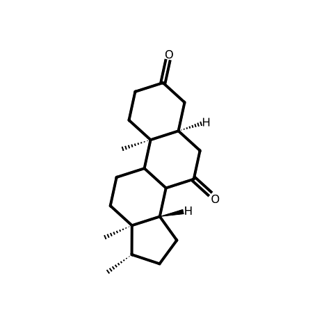 C[C@H]1CC[C@H]2C3C(=O)C[C@@H]4CC(=O)CC[C@]4(C)C3CC[C@]12C